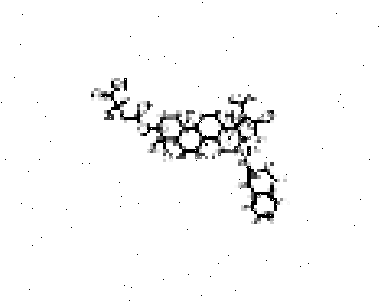 CC(C)C1=C2[C@H]3CCC4[C@@]5(C)CC[C@H](OC(=O)CC(C)(C)C(=O)O)C(C)(C)C5CC[C@@]4(C)[C@]3(C)CC[C@@]2(CCN2CCc3ccccc3C2)CC1=O